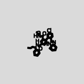 CCCC(NC(=O)c1ccc(-c2cc(Cl)ccc2-c2nc3ccccc3[nH]2)c(C(=O)NOC)c1)c1ccccc1